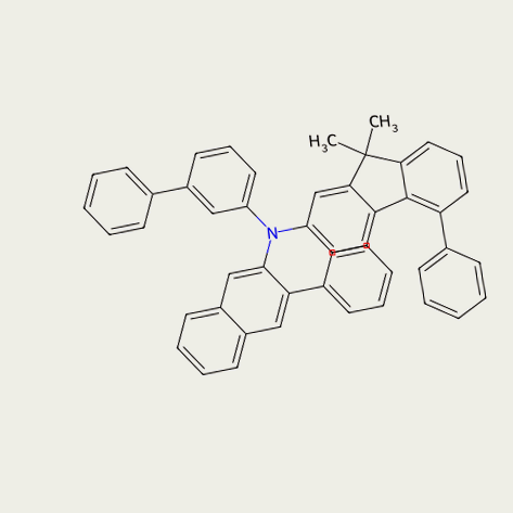 CC1(C)c2cc(N(c3cccc(-c4ccccc4)c3)c3cc4ccccc4cc3-c3ccccc3)ccc2-c2c(-c3ccccc3)cccc21